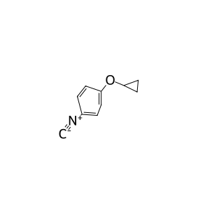 [C-]#[N+]c1ccc(OC2CC2)cc1